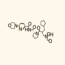 O=CN(O)CC(CC1CCCC1)C(=O)N1CCC[C@@H]1C(=O)NC(=O)c1ccc(N2CCOCC2)nc1